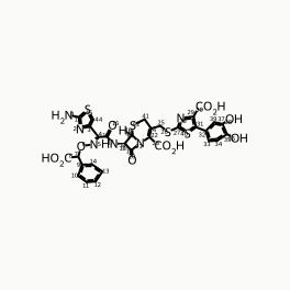 Nc1nc(C(=NOC(C(=O)O)c2ccccc2)C(=O)N[C@@H]2C(=O)N3C(C(=O)O)=C(CSc4nc(C(=O)O)c(-c5ccc(O)c(O)c5)s4)CS[C@@H]23)cs1